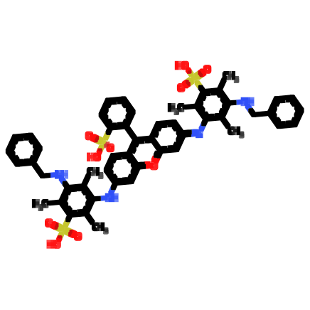 Cc1c(/N=c2\ccc3c(-c4ccccc4S(=O)(=O)O)c4ccc(Nc5c(C)c(NCc6ccccc6)c(C)c(S(=O)(=O)O)c5C)cc4oc-3c2)c(C)c(S(=O)(=O)O)c(C)c1NCc1ccccc1